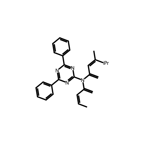 C=C(/C=C\C)N(C(=C)/C=C(/C)C(C)C)c1nc(-c2ccccc2)nc(-c2ccccc2)n1